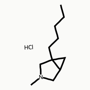 CCCCCC12CC1CN(C)C2.Cl